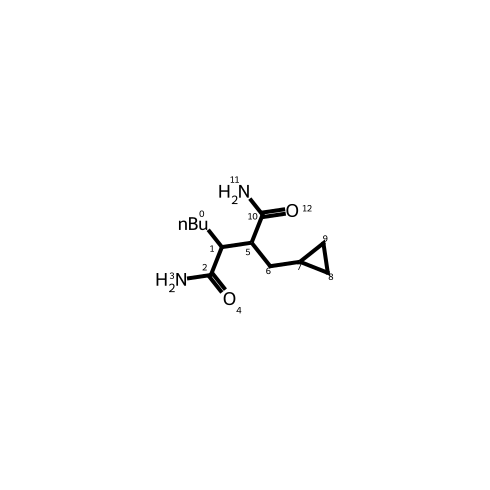 CCCCC(C(N)=O)C(CC1CC1)C(N)=O